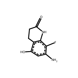 Nc1cc(O)c2c(c1F)NC(=O)CC2